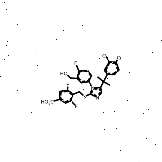 CC(C)(c1ccc(Cl)c(Cl)c1)c1cnc(SCc2c(F)cc(C(=O)O)cc2F)n1-c1ccc(F)c(CO)c1